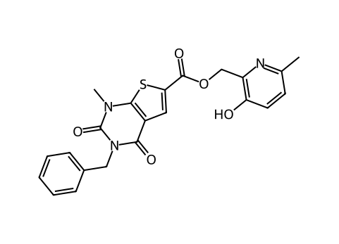 Cc1ccc(O)c(COC(=O)c2cc3c(=O)n(Cc4ccccc4)c(=O)n(C)c3s2)n1